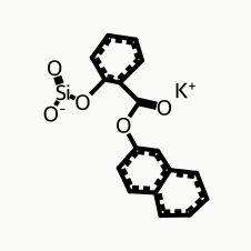 O=C(Oc1ccc2ccccc2c1)c1ccccc1O[Si](=O)[O-].[K+]